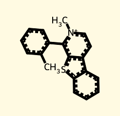 Cc1ccccc1-c1c2sc3ccccc3c2cc[n+]1C